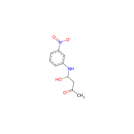 CC(=O)CC(O)Nc1cccc([N+](=O)[O-])c1